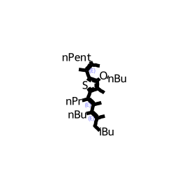 CCCCC/C(C)=C(\C)c1sc(/C(CCC)=C(C)/C(CCCC)=C(\C)CC(C)CC)c(C)c1OCCCC